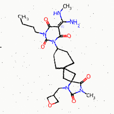 CCCCN1C(=O)/C(=C(/N)NC)C(=O)N(C2CCC3(CC2)CC2(C3)C(=O)N(C)C(=O)N2CC2COC2)C1=O